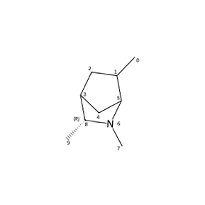 CC1CC2CC1N(C)[C@@H]2C